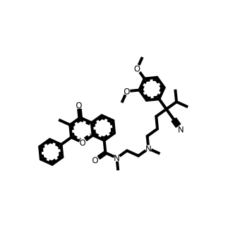 COc1ccc(C(C#N)(CCCN(C)CCN(C)C(=O)c2cccc3c(=O)c(C)c(-c4ccccc4)oc23)C(C)C)cc1OC